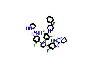 Fc1cc2nc([C@@H]3CCCN3)[nH]c2cc1[C@H]1CC[C@@H](c2cc3[nH]c([C@@H]4CCCN4)nc3cc2F)N1c1cc(F)c(N2CCC(F)(c3ccccc3)CC2)c(F)c1